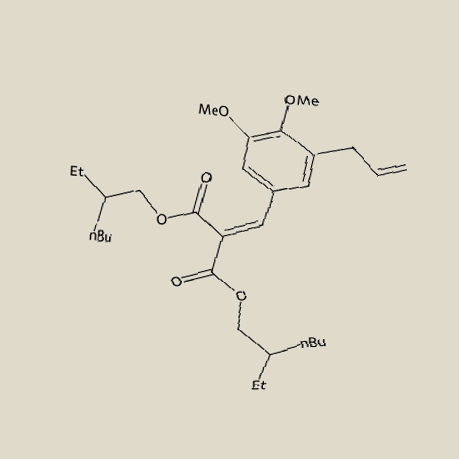 C=CCc1cc(C=C(C(=O)OCC(CC)CCCC)C(=O)OCC(CC)CCCC)cc(OC)c1OC